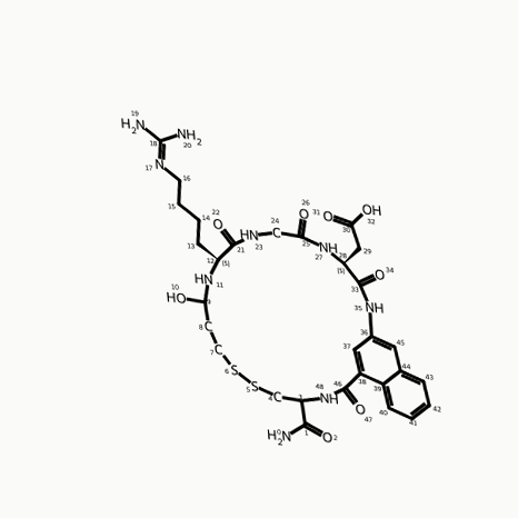 NC(=O)C1CSSCCC(O)N[C@@H](CCCCN=C(N)N)C(=O)NCC(=O)N[C@@H](CC(=O)O)C(=O)Nc2cc(c3ccccc3c2)C(=O)N1